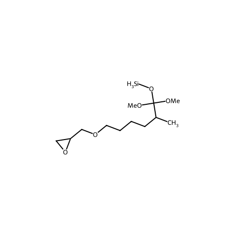 COC(OC)(O[SiH3])C(C)CCCCOCC1CO1